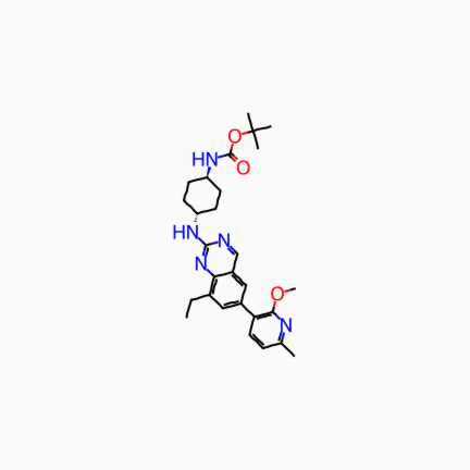 CCc1cc(-c2ccc(C)nc2OC)cc2cnc(N[C@H]3CC[C@H](NC(=O)OC(C)(C)C)CC3)nc12